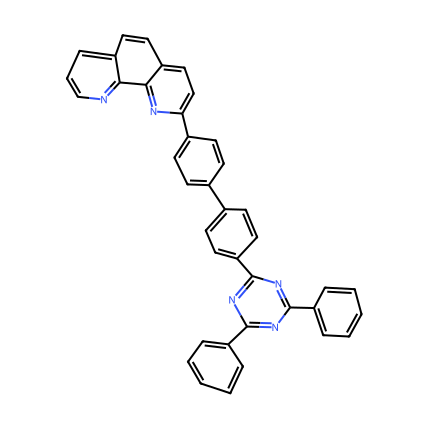 c1ccc(-c2nc(-c3ccccc3)nc(-c3ccc(-c4ccc(-c5ccc6ccc7cccnc7c6n5)cc4)cc3)n2)cc1